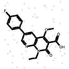 CCn1c(=O)c(C(=O)O)c(OC)c2cc(-c3ccc(F)cc3)cnc21